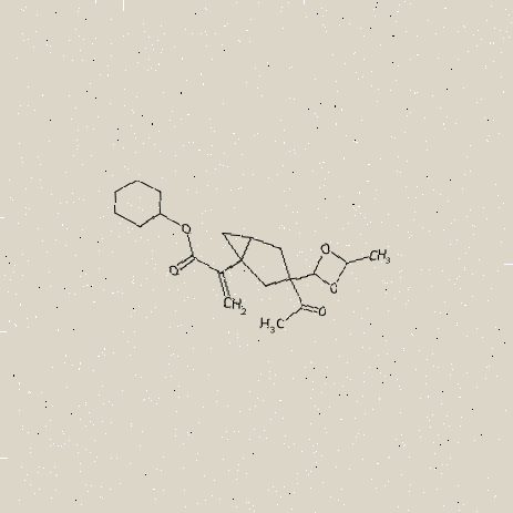 C=C(C(=O)OC1CCCCC1)C12CC1CC(C(C)=O)(C1OC(C)O1)C2